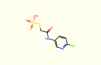 O=C(CSS(=O)(=O)O)Nc1ccc(Cl)nc1